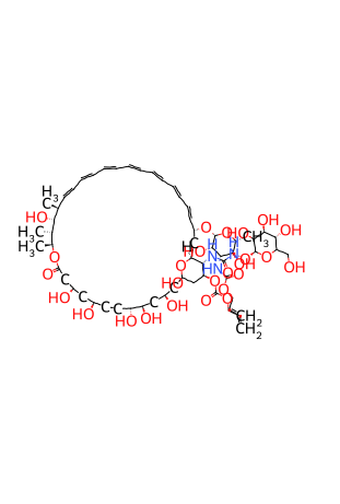 C=CCOC(=O)N[C@@H]1[C@H](O)[C@H](O[C@H]2/C=C/C=C/C=C/C=C/C=C/C=C/C=C/[C@H](C)[C@@H](O)[C@@H](C)[C@H](C)OC(=O)C[C@H](O)C[C@H](O)CC[C@@H](O)[C@H](O)C[C@H](O)C[C@]3(O)C[C@H](OC(=O)OCC=C)[C@@H](NC(=O)NO[C@@H]4OC(CO)[C@@H](O)[C@H](O)C4O)[C@H](C2)O3)O[C@H](C)[C@H]1O